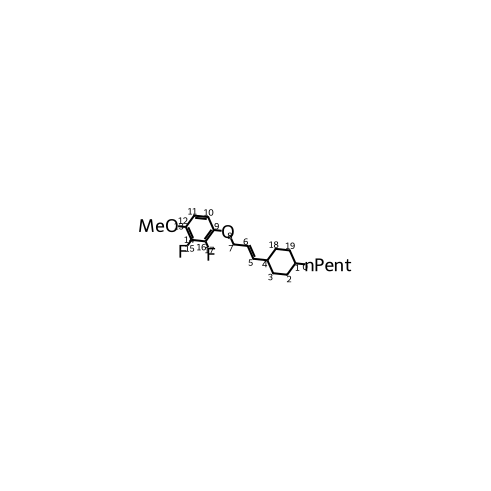 CCCCCC1CCC(/C=C/COc2ccc(OC)c(F)c2F)CC1